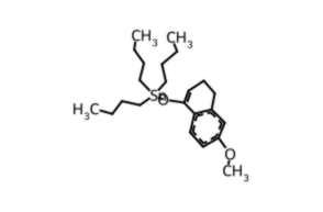 CCC[CH2][Sn]([CH2]CCC)([CH2]CCC)[O]C1=CCCc2cc(OC)ccc21